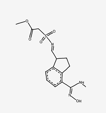 CN/C(=N\O)c1cccc2c1CCC2/C=N/S(=O)(=O)CC(=O)OC